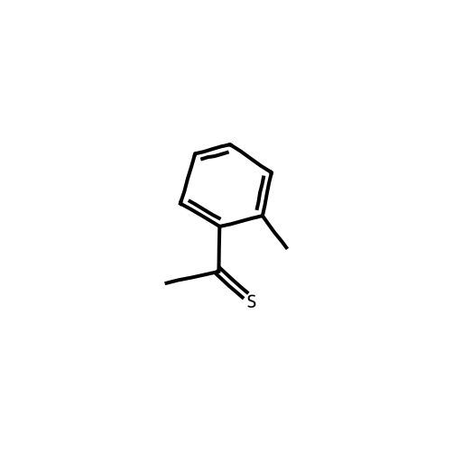 CC(=S)c1ccccc1C